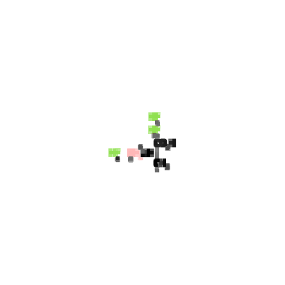 B.CC(=O)O.F.F.F.[LiH]